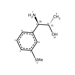 CSc1cccc([C@@H](N)[C@H](C)O)c1